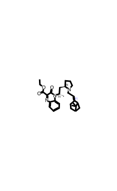 CCOC(=O)c1nc2ccccc2n([C@@H](C)C[C@H]2CCCN2C/C=C2\CCC3CC2C3(C)C)c1=O